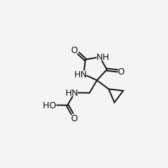 O=C(O)NCC1(C2CC2)NC(=O)NC1=O